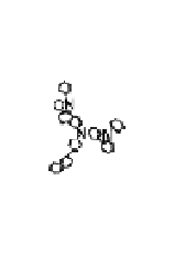 C1=CC(N(c2ccc3c(ccc4oc(-c5ccccc5)nc43)c2)c2ccc3c(c2)c2ccccc2n3-c2ccccc2)CC=C1c1ccc2ccccc2c1